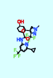 Cn1cc(C2C3OC(CC3O)C2C(=O)Nc2cc(C(F)(F)F)cc(C3CC3)n2)c(C(F)(F)F)n1